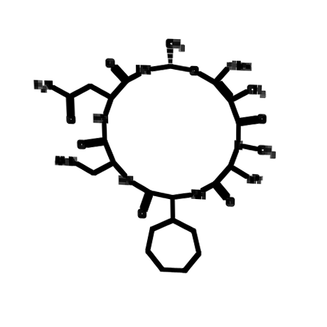 CCCCCC/C1=C(\C)C(=O)N(C)C(CCC)C(=O)NC(C2CCCCCC2)C(=O)NC(CNC)C(=O)NC(CC(N)=O)C(=O)N[C@H](C)O1